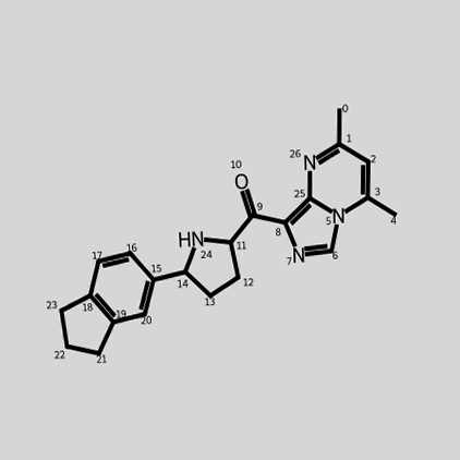 Cc1cc(C)n2cnc(C(=O)C3CCC(c4ccc5c(c4)CCC5)N3)c2n1